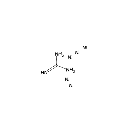 N=C(N)N.[N].[N].[N].[N].[N]